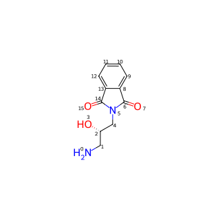 NC[C@H](O)CN1C(=O)c2ccccc2C1=O